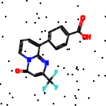 O=C(O)c1ccc(-c2cccn3c(=O)cc(C(F)(F)F)nc23)cc1